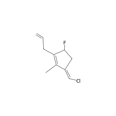 C=CCC1=C(C)C(=CCl)CC1F